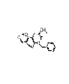 C=C(F)Cc1c(OCc2ccccc2)ccc(C=O)c1O